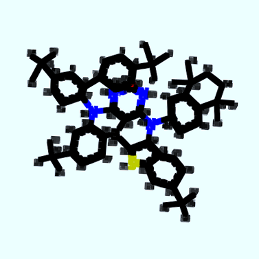 CC(C)(C)c1ccc(-c2cc(C(C)(C)C)ccc2N2c3cc(C(C)(C)C)ccc3B3c4sc5cc(C(C)(C)C)ccc5c4N(c4ccc5c(c4)C(C)(C)CCC5(C)C)c4ncnc2c43)cc1